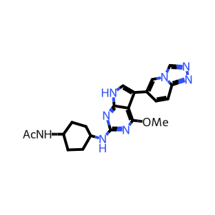 COc1nc(NC2CCC(NC(C)=O)CC2)nc2[nH]cc(-c3ccc4nncn4c3)c12